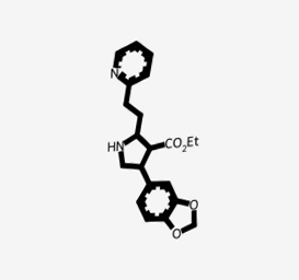 CCOC(=O)C1C(CCc2ccccn2)NCC1c1ccc2c(c1)OCO2